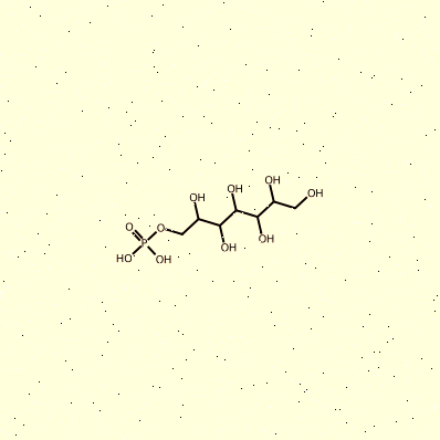 O=P(O)(O)OCC(O)C(O)C(O)C(O)C(O)CO